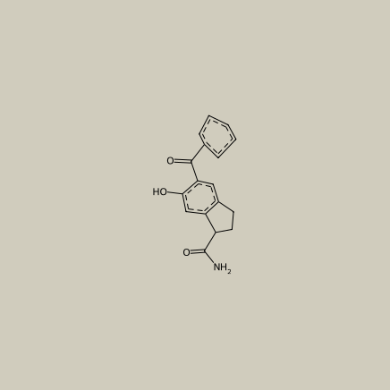 NC(=O)C1CCc2cc(C(=O)c3ccccc3)c(O)cc21